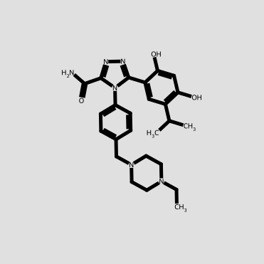 CCN1CCN(Cc2ccc(-n3c(C(N)=O)nnc3-c3cc(C(C)C)c(O)cc3O)cc2)CC1